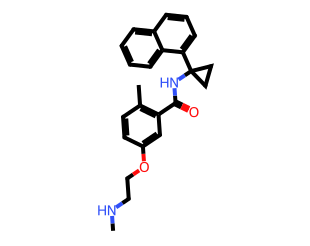 CNCCOc1ccc(C)c(C(=O)NC2(c3cccc4ccccc34)CC2)c1